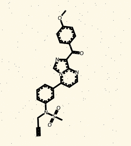 C#CCN(c1cccc(-c2ccnc3c(C(=O)c4ccc(OC)cc4)ncn23)c1)S(C)(=O)=O